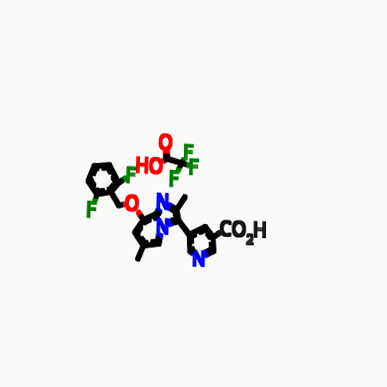 Cc1cc(OCc2c(F)cccc2F)c2nc(C)c(-c3cncc(C(=O)O)c3)n2c1.O=C(O)C(F)(F)F